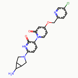 NC1C2CN(c3ccc(-n4ccc(OCc5ccc(Cl)cn5)cc4=O)c(=O)[nH]3)CC12